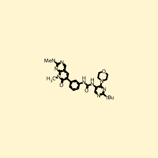 CNc1ncc2cc(-c3cccc(NC(=O)Nc4cnc(C(C)(C)C)nc4N4CCOCC4)c3)c(=O)n(C)c2n1